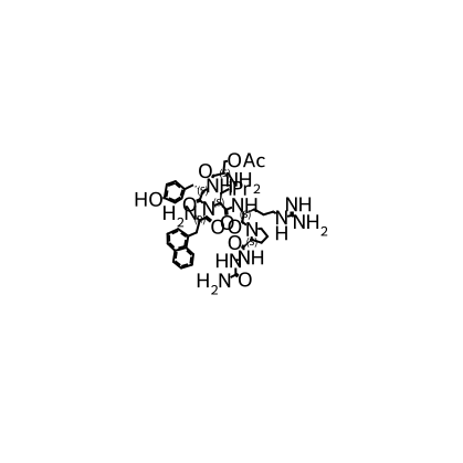 CC(=O)OC[C@H](N)C(=O)N[C@@H](Cc1ccc(O)cc1)C(=O)N(C(=O)[C@H](N)Cc1cccc2ccccc12)[C@@H](CC(C)C)C(=O)N[C@@H](CCCNC(=N)N)C(=O)N1CCC[C@H]1C(=O)NNC(N)=O